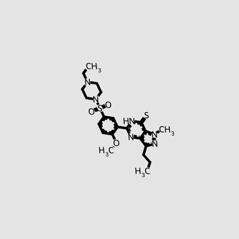 CCCc1nn(C)c2c(=S)[nH]c(-c3cc(S(=O)(=O)N4CCN(CC)CC4)ccc3OC)nc12